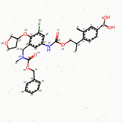 Cc1cc(B(O)O)ccc1C(C)COC(=O)Nc1cc(F)c(OC2CCOC2)c(CN(C)C(=O)OCc2ccccc2)c1